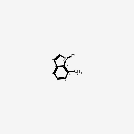 Cc1cccc2ccn(F)c12